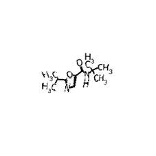 CC(C)c1ncc(C(=O)NC(C)(C)C)o1